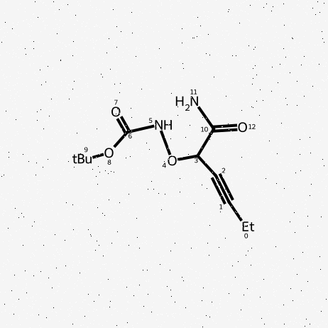 CCC#CC(ONC(=O)OC(C)(C)C)C(N)=O